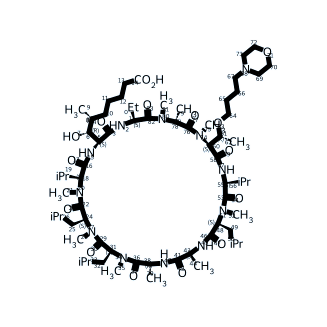 CC[C@@H]1NC(=O)[C@H]([C@H](O)[C@H](C)CCCCC(=O)O)NC(=O)[C@H](C(C)C)N(C)C(=O)[C@H](CC(C)C)N(C)C(=O)[C@H](CC(C)C)N(C)C(=O)[C@@H](C)NC(=O)[C@H](C)NC(=O)[C@H](CC(C)C)N(C)C(=O)[C@H](C(C)C)NC(=O)[C@H]([C@@H](C)OCCCCN2CCOCC2)N(C)C(=O)[C@@H](C)N(C)C1=O